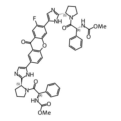 COC(=O)N[C@@H](C(=O)N1CCC[C@H]1c1ncc(-c2ccc3oc4cc(-c5cnc([C@@H]6CCCN6C(=O)[C@H](NC(=O)OC)c6ccccc6)[nH]5)c(F)cc4c(=O)c3c2)[nH]1)c1ccccc1